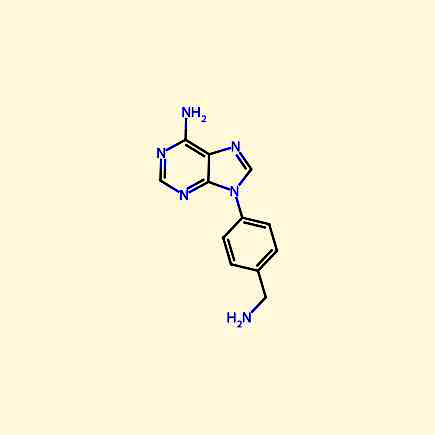 NCc1ccc(-n2cnc3c(N)ncnc32)cc1